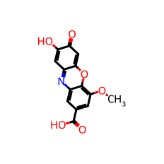 COc1cc(C(=O)O)cc2nc3cc(O)c(=O)cc-3oc12